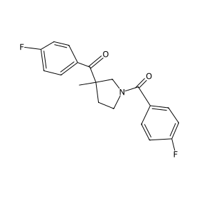 CC1(C(=O)c2ccc(F)cc2)CCN(C(=O)c2ccc(F)cc2)C1